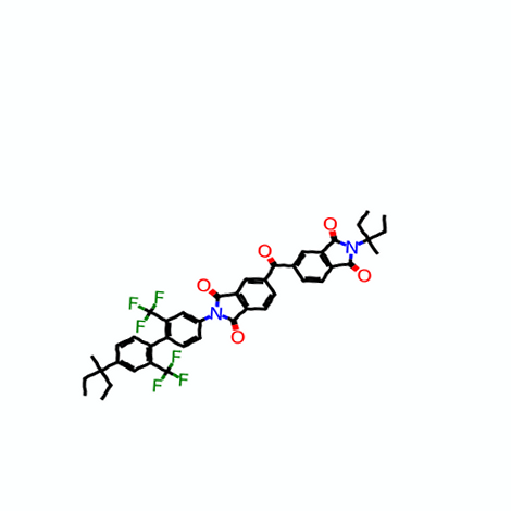 CCC(C)(CC)c1ccc(-c2ccc(N3C(=O)c4ccc(C(=O)c5ccc6c(c5)C(=O)N(C(C)(CC)CC)C6=O)cc4C3=O)cc2C(F)(F)F)c(C(F)(F)F)c1